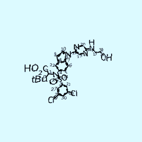 CC(C)(C)C(C(=O)O)N(c1ccc2c(ccn2-c2cnc(NCCO)cn2)c1)S(=O)(=O)c1cc(Cl)cc(Cl)c1